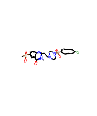 Cn1c(CCN2CCN(S(=O)(=O)c3ccc(Cl)cc3)CC2)nc2ccc(S(C)(=O)=O)cc2c1=O